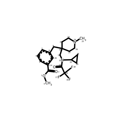 COC(=O)c1cccc(CC2(CN(C(=O)C(F)(F)F)C3CC3)CCN(C)CC2)c1